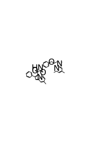 Cc1cc(C)nc(N(C)CCOc2ccc(NC(=O)C(=O)c3c(-c4ccccc4)cc4cc(C)ccn34)cc2)c1